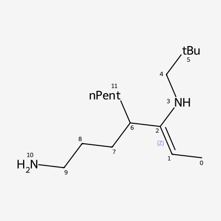 C/C=C(\NCC(C)(C)C)C(CCCN)CCCCC